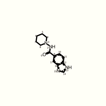 O=C(NN1CCCCC1)c1ccc2[nH]cnc2c1